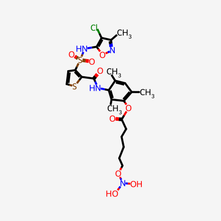 Cc1cc(C)c(OC(=O)CCCCCON(O)O)c(C)c1NC(=O)c1sccc1S(=O)(=O)Nc1onc(C)c1Cl